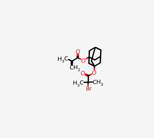 C=C(C)C(=O)OC12CC3CC(C1)CC(OC(=O)C(C)(C)Br)(C3)C2